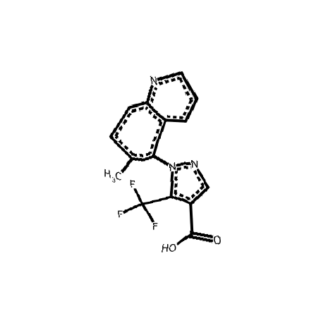 Cc1ccc2ncccc2c1-n1ncc(C(=O)O)c1C(F)(F)F